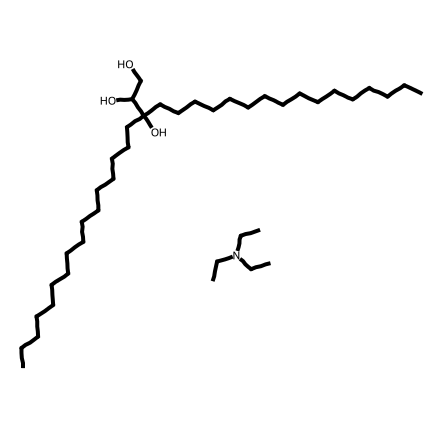 CCCCCCCCCCCCCCCCC(O)(CCCCCCCCCCCCCCCC)C(O)CO.CCN(CC)CC